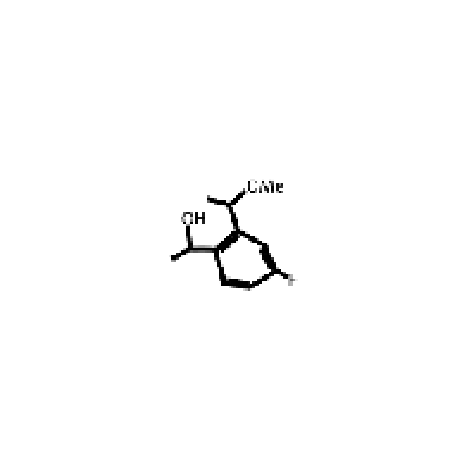 COC(C)c1cc(F)ccc1C(C)O